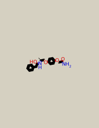 C[C@H](COc1ccc(OCC(N)=O)cc1)N[C@H](O)Cc1ccccc1